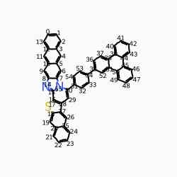 c1ccc2cc3cc4c(cc3cc2c1)nc1c2sc3cc5ccccc5cc3c2cc(-c2ccc(-c3ccc5c6ccccc6c6ccccc6c5c3)cc2)n41